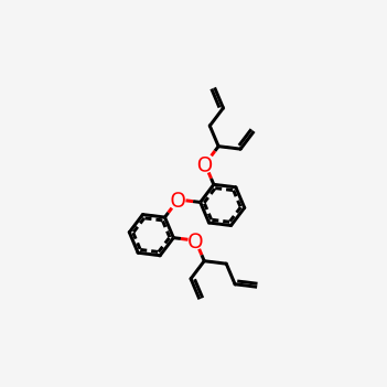 C=CCC(C=C)Oc1ccccc1Oc1ccccc1OC(C=C)CC=C